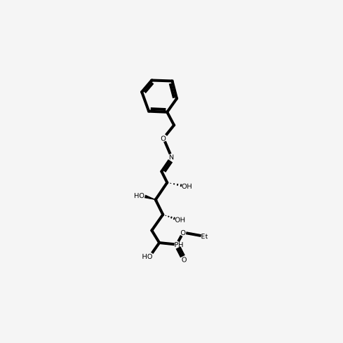 CCO[PH](=O)C(O)C[C@@H](O)[C@@H](O)[C@@H](O)C=NOCc1ccccc1